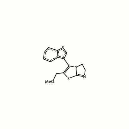 COCC1=C(c2csc3ccccc23)N2CCN=C2S1